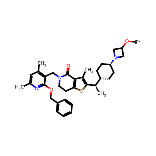 Cc1cc(C)c(CN2CCc3sc([C@H](C)[C@H]4CC[C@H](N5CC(OC(C)C)C5)CC4)c(C)c3C2=O)c(OCc2ccccc2)n1